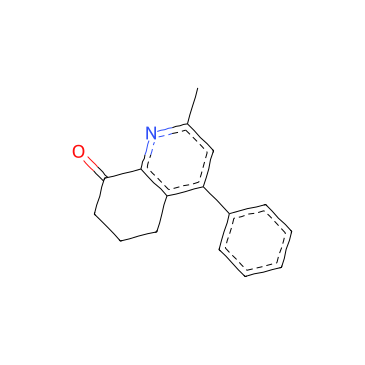 Cc1cc(-c2ccccc2)c2c(n1)C(=O)CCC2